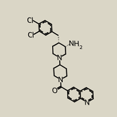 N[C@@H]1CN(C2CCN(C(=O)c3ccc4ncccc4c3)CC2)CC[C@@H]1Cc1ccc(Cl)c(Cl)c1